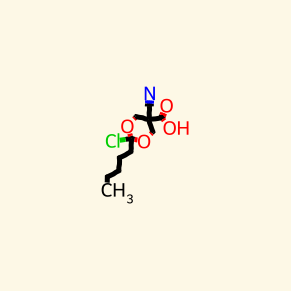 CCCCCC1(Cl)OCC(C#N)(C(=O)O)CO1